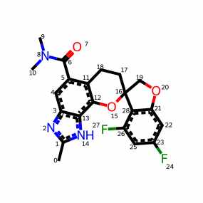 Cc1nc2cc(C(=O)N(C)C)c3c(c2[nH]1)OC1(CC3)COc2cc(F)cc(F)c21